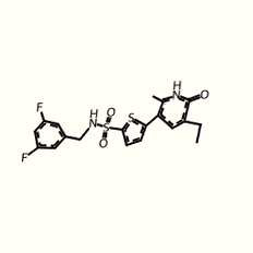 CCc1cc(-c2ccc(S(=O)(=O)NCc3cc(F)cc(F)c3)s2)c(C)[nH]c1=O